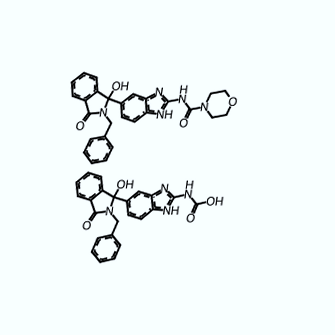 O=C(Nc1nc2cc(C3(O)c4ccccc4C(=O)N3Cc3ccccc3)ccc2[nH]1)N1CCOCC1.O=C(O)Nc1nc2cc(C3(O)c4ccccc4C(=O)N3Cc3ccccc3)ccc2[nH]1